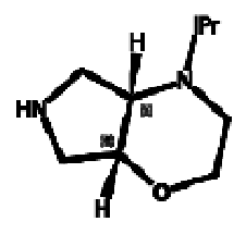 CC(C)N1CCO[C@@H]2CNC[C@@H]21